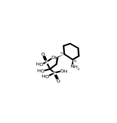 N[C@@H]1CCCC[C@H]1CCC(O)(P(=O)(O)O)P(=O)(O)O